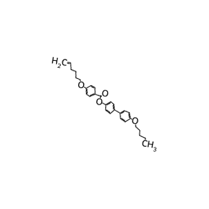 C=CCCCCOc1ccc(C(=O)Oc2ccc(-c3ccc(OCCCCC)cc3)cc2)cc1